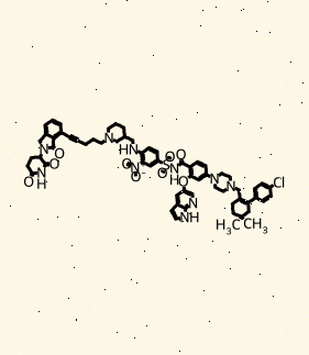 CC1(C)CCC(CN2CCN(c3ccc(C(=O)NS(=O)(=O)c4ccc(NCC5CCCN(CCCC#Cc6cccc7c6C(=O)N(C6CCC(=O)NC6=O)C7)C5)c([N+](=O)[O-])c4)c(Oc4cnc5[nH]ccc5c4)c3)CC2)=C(c2ccc(Cl)cc2)C1